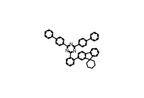 c1ccc(-c2ccc(-c3nc(-c4ccc(-c5ccccc5)cc4)nc(-c4ccccc4-c4ccc5c(c4)C4(CCCCC4)c4ccccc4-5)n3)cc2)cc1